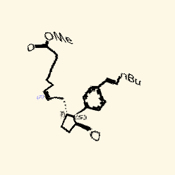 CCCCC=Cc1ccc([C@H]2C(=O)CC[C@@H]2C/C=C\CCCC(=O)OC)cc1